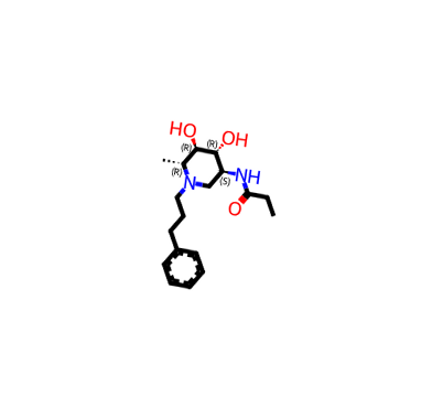 CCC(=O)N[C@H]1CN(CCCc2ccccc2)[C@H](C)[C@@H](O)[C@@H]1O